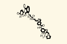 C[C@H]1CCCN1Cc1nc2cc(NC(=O)c3ccc4c(cnn4CCNC(=O)CCNc4cccc5c4C(=O)N(C4CCC(=O)NC4=O)C5=O)c3)ccc2[nH]1